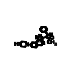 Cc1onc(-c2ccccc2)c1-c1nnc2c3cc(N4CCNCC4)ccc3cnn12